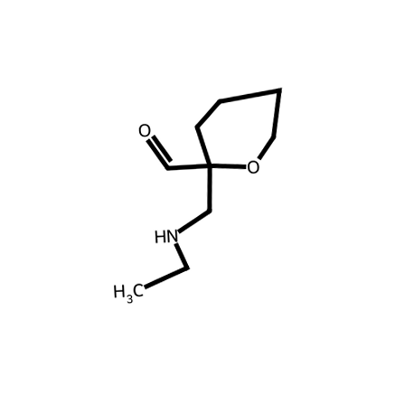 CCNCC1(C=O)CCCCO1